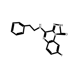 O=c1[nH]nc2c(NCCc3ccccc3)nc3ccc(F)cc3n12